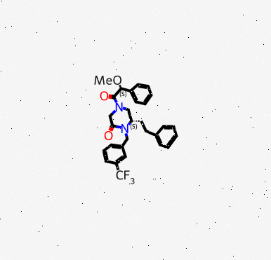 CO[C@H](C(=O)N1CC(=O)N(Cc2cccc(C(F)(F)F)c2)[C@@H](CCc2ccccc2)C1)c1ccccc1